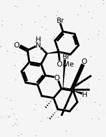 COC1([C@@H]2NC(=O)c3ccc4c(c32)O[C@@]23C[C@@H](Br)C(=O)C(C)(C)[C@@H]2CC[C@H](C)[C@@]3(C)C4)C=C(Br)C=CC1